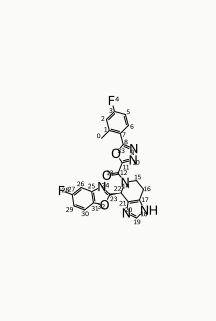 Cc1cc(F)ccc1-c1nnc(C(=O)N2CCc3[nH]cnc3[C@H]2c2nc3cc(F)ccc3o2)o1